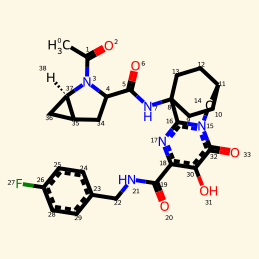 CC(=O)N1C(C(=O)NC23CCC(CC2)Cn2c3nc(C(=O)NCc3ccc(F)cc3)c(O)c2=O)CC2C[C@H]21